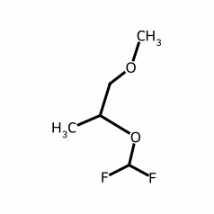 COCC(C)OC(F)F